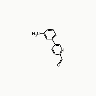 Cc1cccc(-c2ccc(C=O)nc2)c1